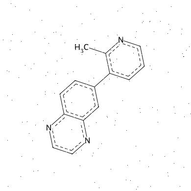 Cc1ncccc1-c1ccc2nccnc2c1